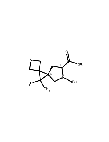 CC(C)(C)C(=O)[C@@H]1C[C@@]2(CN1C(C)(C)C)C(C)(C)C21CSC1